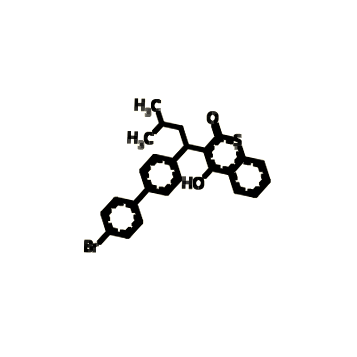 CC(C)CC(c1ccc(-c2ccc(Br)cc2)cc1)c1c(O)c2ccccc2sc1=O